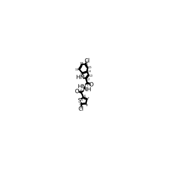 O=C(NNC(=O)c1ccc(Cl)s1)c1cc2cc(Cl)ccc2[nH]1